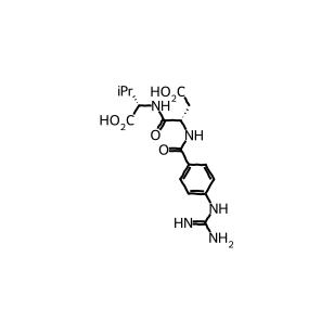 CC(C)[C@H](NC(=O)[C@H](CC(=O)O)NC(=O)c1ccc(NC(=N)N)cc1)C(=O)O